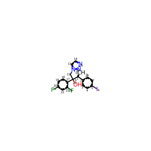 C=C(c1ccc(I)cc1)C(O)(Cn1ccnn1)c1ccc(F)cc1F